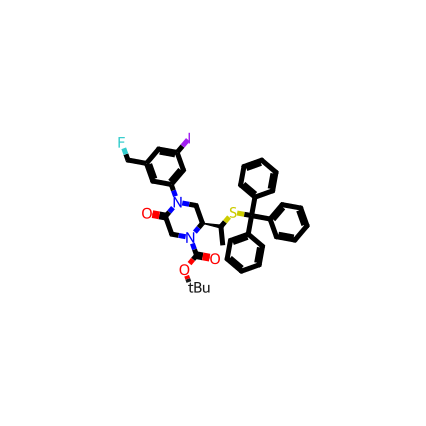 CC(SC(c1ccccc1)(c1ccccc1)c1ccccc1)[C@@H]1CN(c2cc(I)cc(CF)c2)C(=O)CN1C(=O)OC(C)(C)C